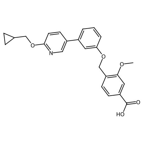 COc1cc(C(=O)O)ccc1COc1cccc(-c2ccc(OCC3CC3)nc2)c1